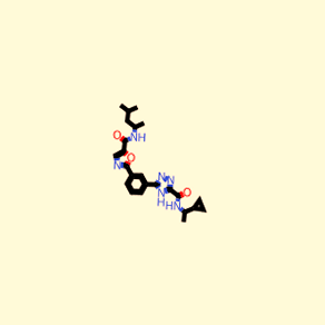 CC(C)CC(C)NC(=O)c1cnc(-c2cccc(-c3nnc(C(=O)NC(C)C4CC4)[nH]3)c2)o1